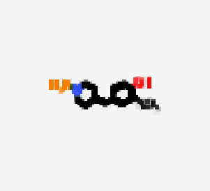 O=[N+]([O-])c1cc(C=C2CCN(P)CC2)ccc1O